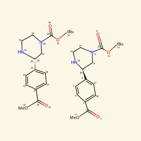 COC(=O)c1ccc([C@@H]2CN(C(=O)OC(C)(C)C)CCN2)cc1.COC(=O)c1ccc([C@H]2CN(C(=O)OC(C)(C)C)CCN2)cc1